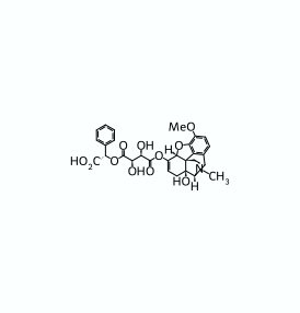 COc1ccc2c3c1O[C@H]1C(OC(=O)[C@H](O)[C@@H](O)C(=O)O[C@H](C(=O)O)c4ccccc4)=CC[C@@]4(O)[C@@H](C2)N(C)CC[C@]314